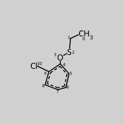 CCSOc1ccccc1Cl